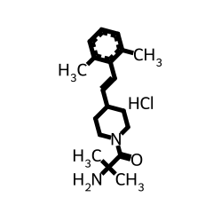 Cc1cccc(C)c1C=CC1CCN(C(=O)C(C)(C)N)CC1.Cl